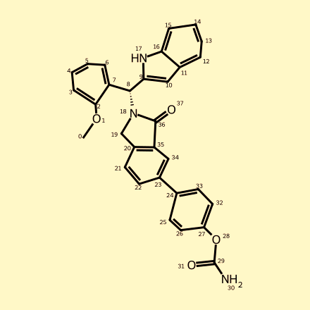 COc1ccccc1[C@H](c1cc2ccccc2[nH]1)N1Cc2ccc(-c3ccc(OC(N)=O)cc3)cc2C1=O